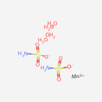 NS(=O)(=O)[O-].NS(=O)(=O)[O-].O.O.O.O.[Mn+2]